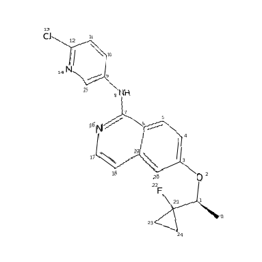 C[C@H](Oc1ccc2c(Nc3ccc(Cl)nc3)nccc2c1)C1(F)CC1